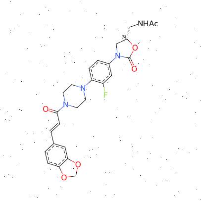 CC(=O)NC[C@H]1CN(c2ccc(N3CCN(C(=O)C=Cc4ccc5c(c4)OCO5)CC3)c(F)c2)C(=O)O1